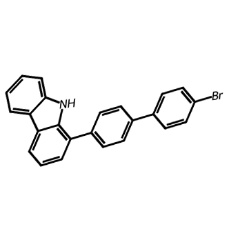 Brc1ccc(-c2ccc(-c3cccc4c3[nH]c3ccccc34)cc2)cc1